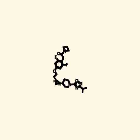 CC(C)c1noc(N2CCC([C@H]3C[C@H]3CCOc3cc(F)c(CC(=O)N4CCC4)c(F)c3)CC2)n1